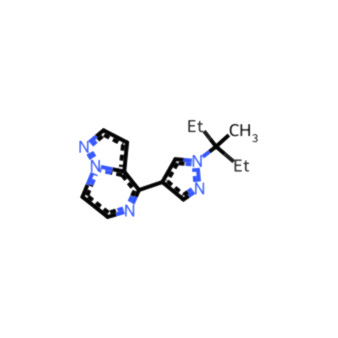 CCC(C)(CC)n1cc(-c2nccn3nccc23)cn1